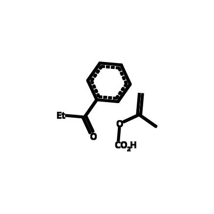 C=C(C)OC(=O)O.CCC(=O)c1ccccc1